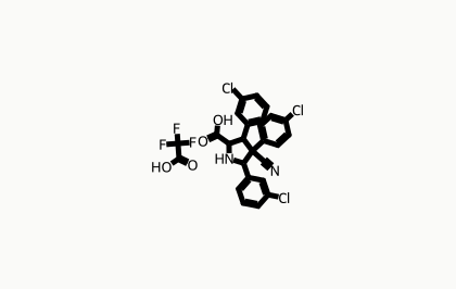 N#CC1(c2ccc(Cl)cc2)C(c2cccc(Cl)c2)NC(C(=O)O)C1c1cccc(Cl)c1.O=C(O)C(F)(F)F